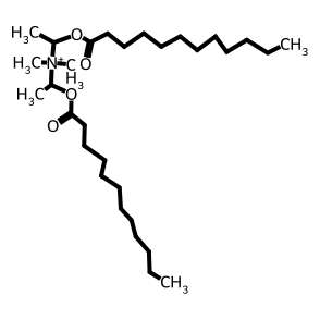 CCCCCCCCCCCC(=O)OC(C)[N+](C)(C)C(C)OC(=O)CCCCCCCCCCC